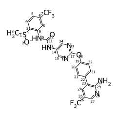 C[S+]([O-])c1ccc(C(F)(F)F)cc1NC(=O)Nc1cnc(Oc2ccc(-c3cc(C(F)(F)F)cnc3N)cc2)nc1